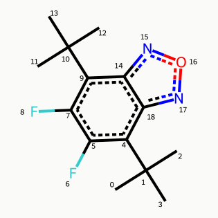 CC(C)(C)c1c(F)c(F)c(C(C)(C)C)c2nonc12